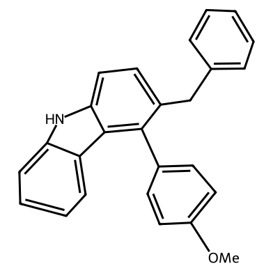 COc1ccc(-c2c(Cc3ccccc3)ccc3[nH]c4ccccc4c23)cc1